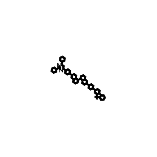 CC1(C)c2ccccc2-c2ccc(-c3ccc(-c4ccc5c(-c6cccc7cc(-c8ccc(-c9cc(-c%10ccccc%10)nc(-c%10ccccc%10)n9)cc8)ccc67)cccc5c4)cc3)cc21